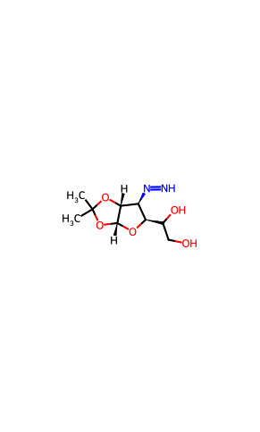 CC1(C)O[C@H]2O[C@H](C(O)CO)[C@H](N=N)[C@H]2O1